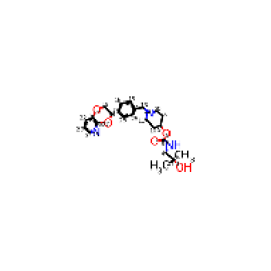 CC(C)(O)CNC(=O)OC1CCN(Cc2ccc([C@H]3COc4cccnc4O3)cc2)CC1